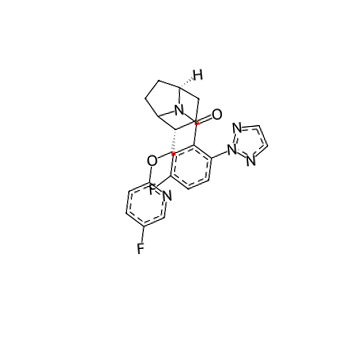 O=C(c1cc(F)ccc1-n1nccn1)N1C2CC[C@H]1CC[C@@H]2COc1ccc(F)cn1